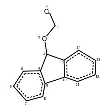 ClCOC1c2ccccc2-c2ccccc21